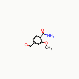 COc1cc(C=O)ccc1C(N)=O